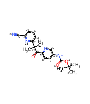 CC(C)(C)OC(=O)Nc1ccc(C(=O)C(C)(C)c2cccc(C#N)n2)nc1